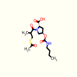 CCCCNC(=O)O[C@@H]1C[C@@H](C(=O)O)N(C(=O)C(C)CSC(C)=O)C1